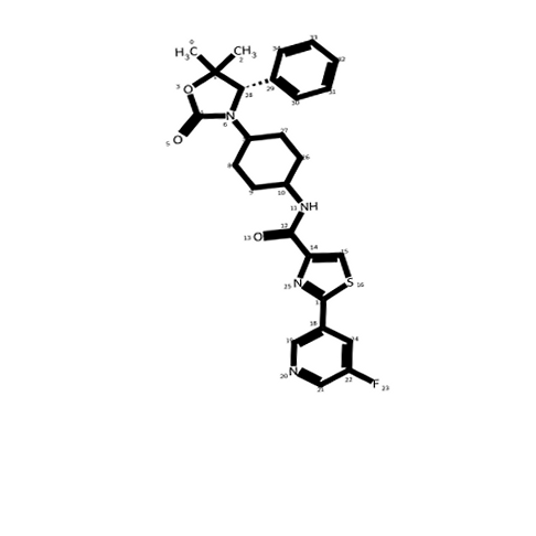 CC1(C)OC(=O)N(C2CCC(NC(=O)c3csc(-c4cncc(F)c4)n3)CC2)[C@H]1c1ccccc1